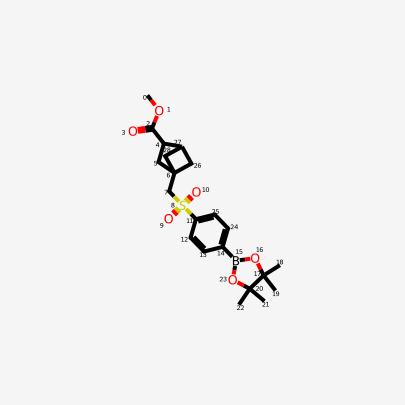 COC(=O)C1CC2(CS(=O)(=O)c3ccc(B4OC(C)(C)C(C)(C)O4)cc3)CC1C2